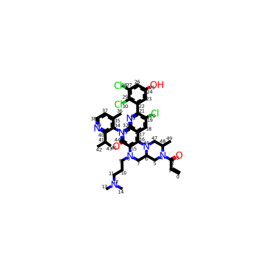 C=CC(=O)N1CC2CN(CCCN(C)C)c3c(c4cc(Cl)c(-c5cc(O)cc(Cl)c5Cl)nc4n(-c4c(C)ccnc4C(C)C)c3=O)N2CC1C